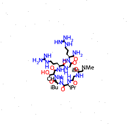 CC[C@H](C)[C@H](NC(=O)[C@H](CCCNC(=N)N)NC(=O)[C@@H](NC(=O)[C@@H](NC(=O)[C@@H](NC(=O)CNC(=O)CNC)C(C)C)[C@@H](C)CC)[C@@H](C)O)C(=O)N[C@@H](CCCNC(=N)N)C(N)=O